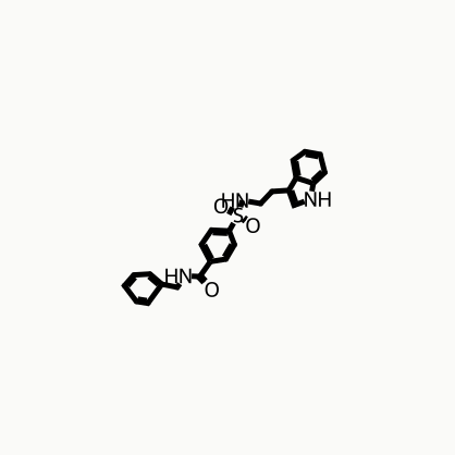 O=C(NCc1ccccc1)c1ccc(S(=O)(=O)NCCc2c[nH]c3ccccc23)cc1